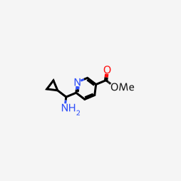 COC(=O)c1ccc(C(N)C2CC2)nc1